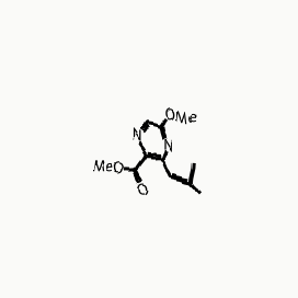 COC(=O)c1ncc(OC)nc1C=C(C)C